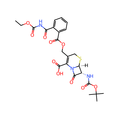 CCOC(=O)NC(=O)c1ccccc1C(=O)OCC1=C(C(=O)O)N2C(=O)[C@@H](NC(=O)OC(C)(C)C)[C@@H]2SC1